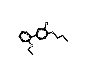 CCCSc1ccc(-c2[c]cccc2OCC)cc1Cl